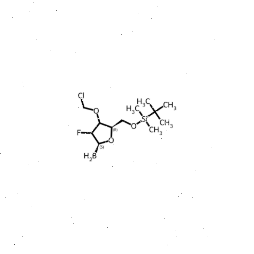 B[C@@H]1O[C@H](CO[Si](C)(C)C(C)(C)C)C(OCCl)C1F